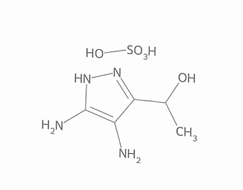 CC(O)c1n[nH]c(N)c1N.O=S(=O)(O)O